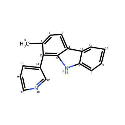 Cc1ccc2c([nH]c3ccccc32)c1-c1cccnc1